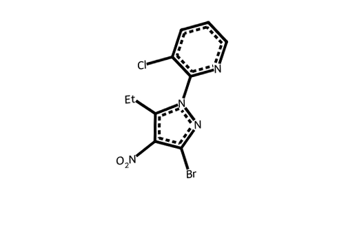 CCc1c([N+](=O)[O-])c(Br)nn1-c1ncccc1Cl